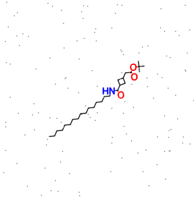 CCCCCCCCCCCCCCCCNC(=O)C1CC(CC(=O)OC(C)(C)C)C1